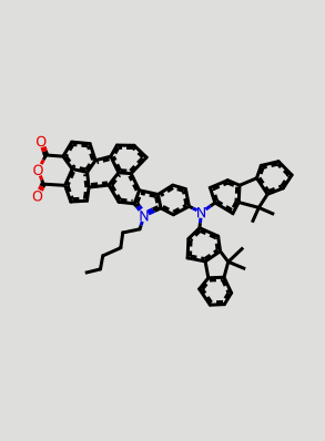 CCCCCCn1c2cc(N(c3ccc4c(c3)C(C)(C)c3ccccc3-4)c3ccc4c(c3)C(C)(C)c3ccccc3-4)ccc2c2c3cccc4c5ccc6c7c(ccc(c(cc21)c43)c75)C(=O)OC6=O